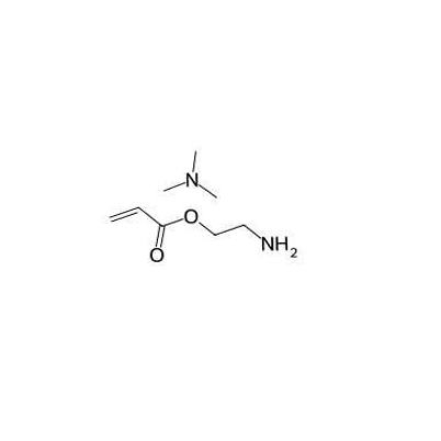 C=CC(=O)OCCN.CN(C)C